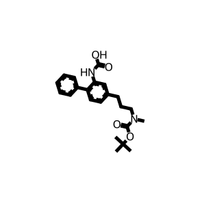 CN(CCCc1ccc(-c2ccccc2)c(NC(=O)O)c1)C(=O)OC(C)(C)C